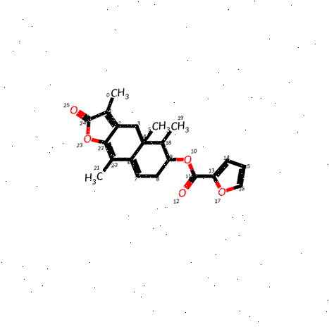 CC1=C2CC3(C)C(=CCC(OC(=O)c4ccco4)C3C)C(C)=C2OC1=O